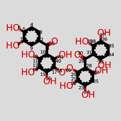 O=C(c1ccc(O)c(O)c1)c1c(O)c(O)c(O)c(OOc2c(O)c(O)cc(O)c2C(=O)c2c(O)ccc(O)c2O)c1O